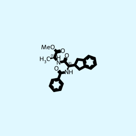 COC(=O)[C@H](C)NC(=O)[C@H](NC(=O)c1ccccc1)C1Cc2ccccc2C1